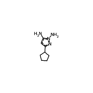 Nc1cc(C2CCCC2)nn1N